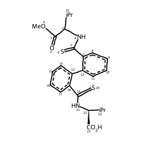 COC(=O)C(NC(=S)c1ccccc1-c1ccccc1C(=S)N[C@H](C(=O)O)C(C)C)C(C)C